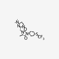 C=C1C(=O)N(c2ccc(SC(F)(F)F)cc2)C(=O)N1Cc1nccc(N(C)C)n1